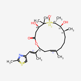 C/C1=C\C[C@@H](/C(C)=C/c2csc(C)n2)OC(=O)C[C@@H](O)C(C)(C)[SH2+]([O-])[C@H](C)[C@@H](O)[C@@H](C)CCC1